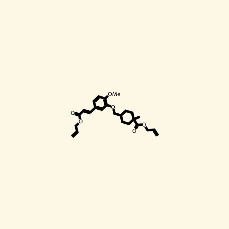 C=CCOC(=O)C=Cc1ccc(OC)c(OCC2CCC(C)(C(=O)OCC=C)CC2)c1